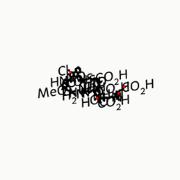 COc1cc2[nH]cc(C(=O)N3C[C@@H](CCl)c4c3cc(OC(=O)N(C)CCSSC[C@H](NC(=O)[C@H](CC(=O)O)NC(=O)/C(=C\NC(=O)[C@H](CC(=O)O)NC(=O)CCCCn3cc(CCCC(=O)O)nn3)CCCNC(=N)N)C(=O)O)c3ccccc43)c2cc1OCCN(C)C